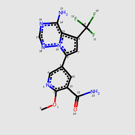 COc1ncc(-c2cc(C(F)(F)F)c3c(N)ncnn23)cc1C(N)=O